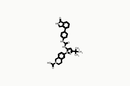 CC(C)(C)c1cc(NC(=O)Nc2ccc(-c3cccc4c3CNC4=O)cc2)n(-c2ccc3c(c2)CCN(C(=O)O)C3)n1